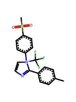 Cc1ccc(C2=NC=C[N+]2(c2ccc(S(C)(=O)=O)cc2)C(F)(F)F)cc1